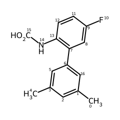 Cc1cc(C)cc(-c2cc(F)ccc2NC(=O)O)c1